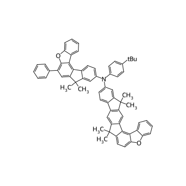 CC(C)(C)c1ccc(N(c2ccc3c(c2)C(C)(C)c2cc4c(cc2-3)C(C)(C)c2ccc3oc5ccccc5c3c2-4)c2ccc3c(c2)C(C)(C)c2cc(-c4ccccc4)c4oc5ccccc5c4c2-3)cc1